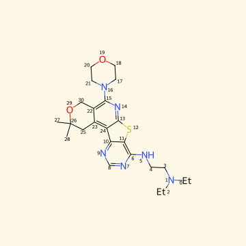 CCN(CC)CCNc1ncnc2c1sc1nc(N3CCOCC3)c3c(c12)CC(C)(C)OC3